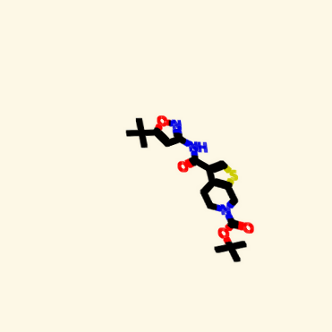 CC(C)(C)OC(=O)N1CCc2c(C(=O)Nc3cc(C(C)(C)C)on3)csc2C1